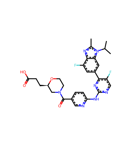 Cc1nc2c(F)cc(-c3nc(Nc4ccc(C(=O)N5CCO[C@H](CCC(=O)O)C5)cn4)ncc3F)cc2n1C(C)C